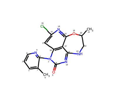 Cc1cccnc1-n1c(=O)nc2c3c(nc(Cl)cc31)OC(C)CN2